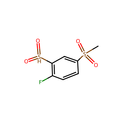 CS(=O)(=O)c1ccc(F)c([SH](=O)=O)c1